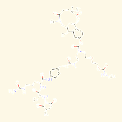 CCCCNC(=O)OCCOCCN(CCN(C)C(=O)OCc1ccc(NC(=O)[C@H](CCCNC(N)=O)NC(=O)[C@@H](NN2C(=O)CC(CC)C2=O)C(C)C)cc1)C(=O)Oc1ccc2c(c1)C(CC)=C1CC2OC(=O)C(C)(CC)CCC(=O)N(CC)C1